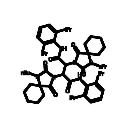 CCCCN1C(=O)N(C(C(=O)Nc2c(C(C)C)cccc2C(C)C)C(C(=O)Nc2c(C(C)C)cccc2C(C)C)N2C(=O)N(CCC)C3(CCCCC3)C2=O)C(=O)C12CCCCC2